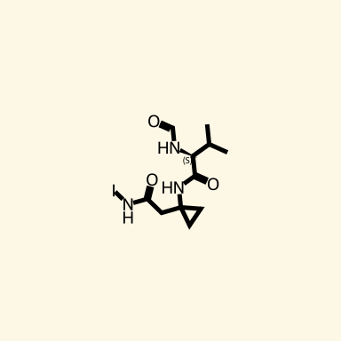 CC(C)[C@H](NC=O)C(=O)NC1(CC(=O)NI)CC1